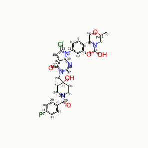 C[C@H]1CN(C(=O)O)[C@H](c2ccc(-n3c(Cl)cc4c(=O)n(CC5(O)CCN(C(=O)c6ccc(F)cc6)CC5)cnc43)cc2)CO1